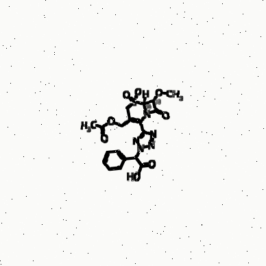 CO[C@H]1C(=O)N2C(c3nnn(C(C(=O)O)c4ccccc4)n3)=C(COC(C)=O)CS(=O)(=O)[C@H]12